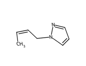 C/C=C\Cn1cccn1